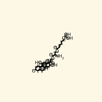 C[C@]12C=CC(=O)C=C1CC[C@H]1[C@@H]3C[C@@H](O)[C@](O)(C(=O)COC(=O)C(N)COC(=O)CCCCCON(O)O)[C@@]3(C)C[C@H](O)[C@@]12F